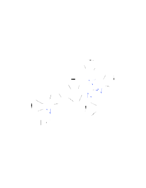 CCn1c2ccccc2c2ccc(-c3cc4c5ccccc5n(-c5nc(-c6ccccc6)c6ccccc6n5)c4c4ccccc34)cc21